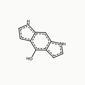 Oc1c2cc[nH]c2cc2[nH]ccc12